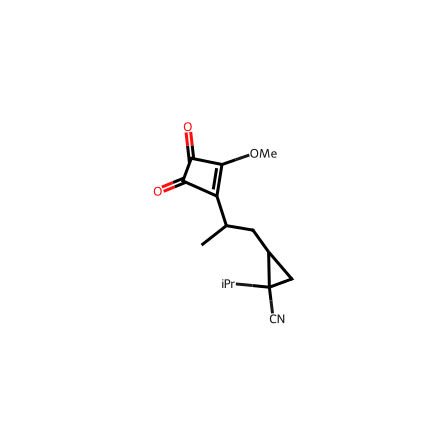 COc1c(C(C)CC2CC2(C#N)C(C)C)c(=O)c1=O